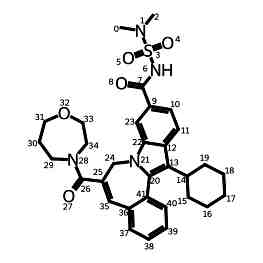 CN(C)S(=O)(=O)NC(=O)c1ccc2c(C3CCCCC3)c3n(c2c1)CC(C(=O)N1CCCOCC1)=Cc1ccccc1-3